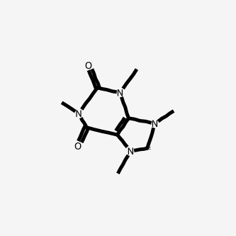 CN1[C]N(C)c2c1c(=O)n(C)c(=O)n2C